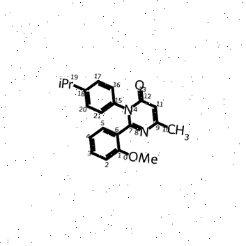 COc1ccccc1-c1nc(C)cc(=O)n1-c1ccc(C(C)C)cc1